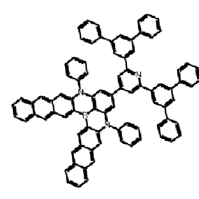 c1ccc(-c2cc(-c3ccccc3)cc(-c3cc(-c4cc5c6c(c4)N(c4ccccc4)c4cc7cc8ccccc8cc7cc4B6c4cc6cc7ccccc7cc6cc4N5c4ccccc4)cc(-c4cc(-c5ccccc5)cc(-c5ccccc5)c4)n3)c2)cc1